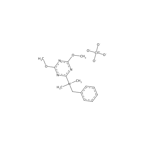 COc1nc(OC)nc([N+](C)(C)Cc2ccccc2)n1.[O-][Cl+3]([O-])([O-])[O-]